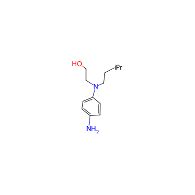 CC(C)CCN(CCO)c1ccc(N)cc1